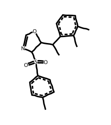 Cc1ccc(S(=O)(=O)C2N=COC2C(C)c2cccc(C)c2C)cc1